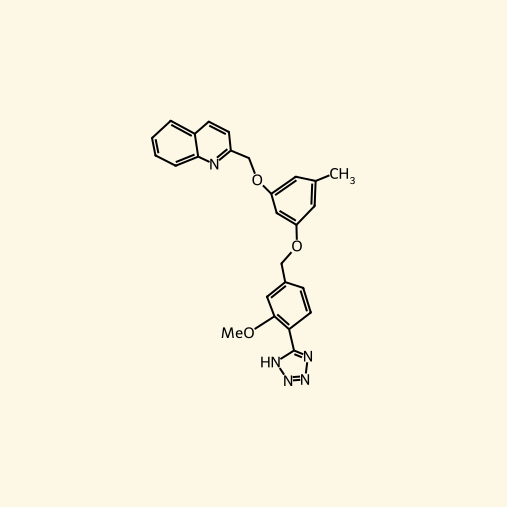 COc1cc(COc2cc(C)cc(OCc3ccc4ccccc4n3)c2)ccc1-c1nnn[nH]1